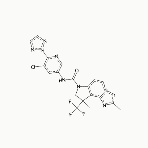 Cc1cn2ccc3c(c2n1)C(C)(C(F)(F)F)CN3C(=O)Nc1cnc(-n2nccn2)c(Cl)c1